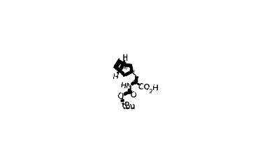 CC(C)(C)OC(=O)N[C@@H](C[C@H]1C[C@H]2C=C[C@H]2C1)C(=O)O